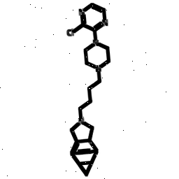 Clc1nccnc1N1CCN(CCCCN2CC3=C4C=CC(C3C2)C2CC42)CC1